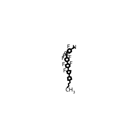 CCCCCc1ccc(-c2ccc(-c3cc(F)c(-c4cc(F)c(C(F)(F)Oc5ccc(C#N)c(F)c5)c(F)c4)c(F)c3)c(F)c2)cc1